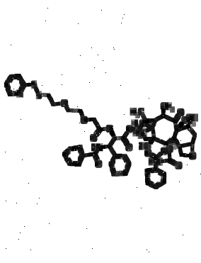 CC(=O)O[C@@]12COC1C[C@H](O)[C@@]1(C)C(=O)[C@H](C)C3=C(C)C(OC(=O)[C@H](OC(=O)COCCOCCSSc4ccccn4)C(NC(=O)c4ccccc4)c4ccccc4)C[C@@](O)([C@@H](OC(=O)c4ccccc4)[C@@H]12)C3(C)C